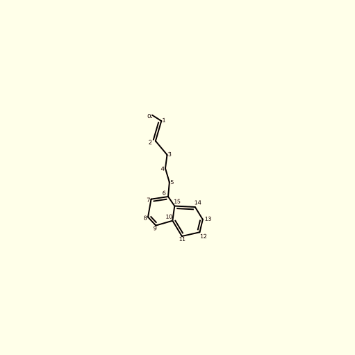 [CH2]C=CCCCc1cccc2ccccc12